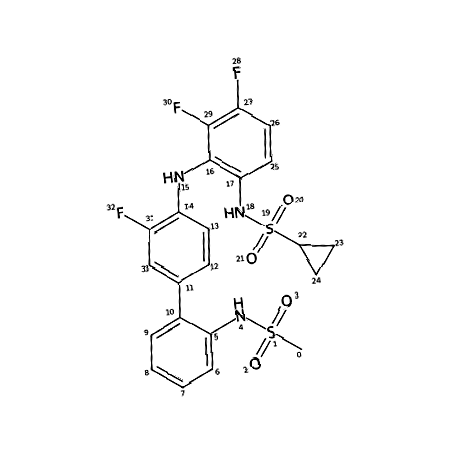 CS(=O)(=O)Nc1ccccc1-c1ccc(Nc2c(NS(=O)(=O)C3CC3)ccc(F)c2F)c(F)c1